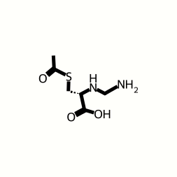 CC(=O)SC[C@H](NCN)C(=O)O